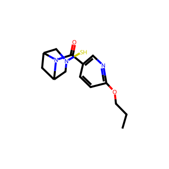 CCCOc1ccc(C(=O)N2C3CC2CN(S)C3)cn1